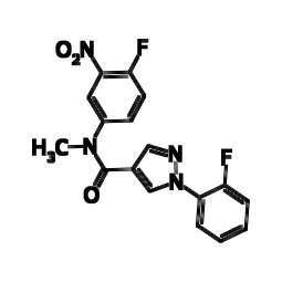 CN(C(=O)c1cnn(-c2ccccc2F)c1)c1ccc(F)c([N+](=O)[O-])c1